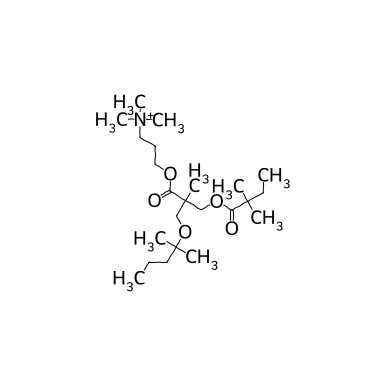 CCCC(C)(C)OCC(C)(COC(=O)C(C)(C)CC)C(=O)OCCC[N+](C)(C)C